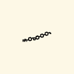 C=CC1CCC(C2CCC(C3C=CC(OCC4CCC(CCC)CC4)CC3)CC2)CC1